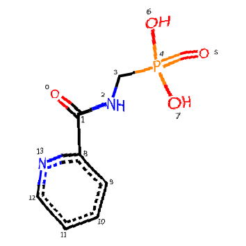 O=C(NCP(=O)(O)O)c1ccccn1